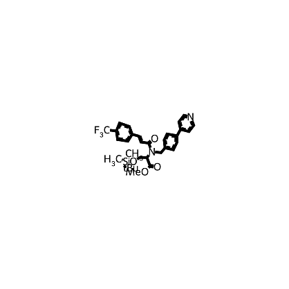 COC(=O)C(CO[Si](C)(C)C(C)(C)C)N(Cc1ccc(-c2ccncc2)cc1)C(=O)C=Cc1ccc(C(F)(F)F)cc1